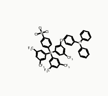 FC(F)(F)c1cc([B-](c2ccc([Si](Cl)(Cl)Cl)cc2)(c2cc(C(F)(F)F)cc(C(F)(F)F)c2)c2cc(C(F)(F)F)cc(C(F)(F)F)c2)cc(C(F)(F)F)c1.c1ccc([C+](c2ccccc2)c2ccccc2)cc1